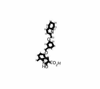 Cc1ccc(OCc2cccc(OCc3ccc4ccccc4n3)c2)c2cc(C(=O)O)c(=O)[nH]c12